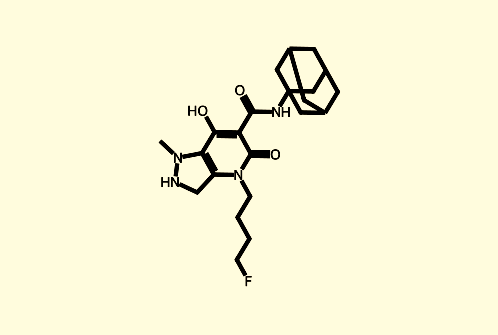 CN1NCc2c1c(O)c(C(=O)NC13CC4CC(CC(C4)C1)C3)c(=O)n2CCCCF